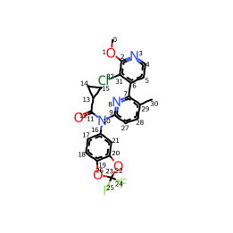 COc1nccc(-c2nc(N(C(=O)C3CC3)c3ccc4c(c3)OC(F)(F)O4)ccc2C)c1Cl